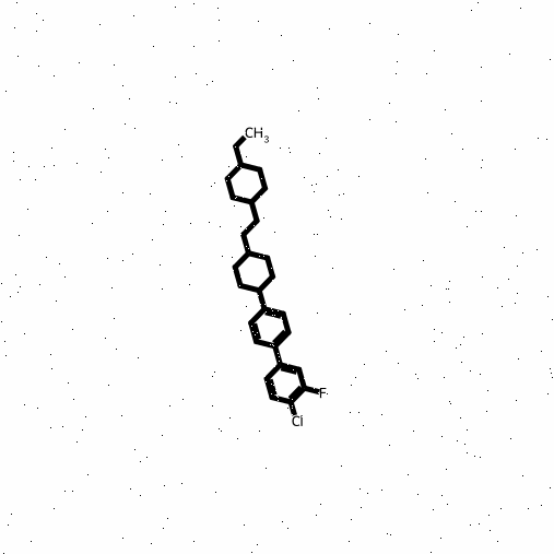 CCC1CCC(CCC2CCC(c3ccc(-c4ccc(Cl)c(F)c4)cc3)CC2)CC1